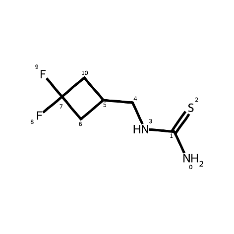 NC(=S)NCC1CC(F)(F)C1